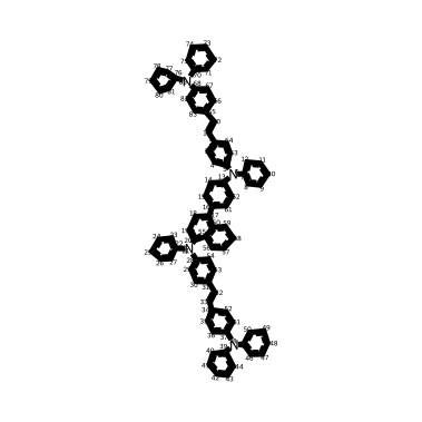 C(=Cc1ccc(N(c2ccccc2)c2ccc(-c3ccc(N(c4ccccc4)c4ccc(C=Cc5ccc(N(c6ccccc6)c6ccccc6)cc5)cc4)c4ccccc34)cc2)cc1)c1ccc(N(c2ccccc2)c2ccccc2)cc1